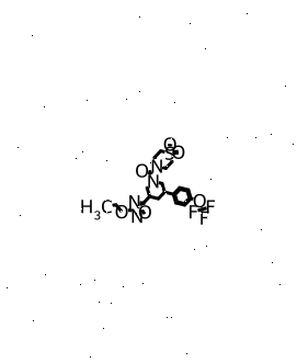 CCOc1noc(C2CC(c3ccc(OC(F)(F)F)cc3)CN(C(=O)N3CCS(=O)(=O)CC3)C2)n1